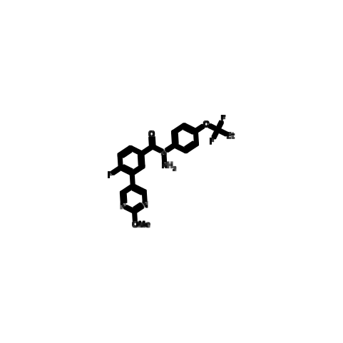 CCC(F)(F)Oc1ccc(N(N)C(=O)c2ccc(F)c(-c3cnc(OC)nc3)c2)cc1